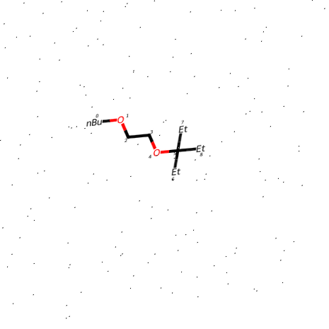 CCCCOCCOC(CC)(CC)CC